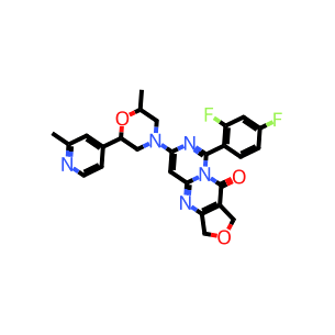 Cc1cc(C2CN(c3cc4nc5c(c(=O)n4c(-c4ccc(F)cc4F)n3)COC5)CC(C)O2)ccn1